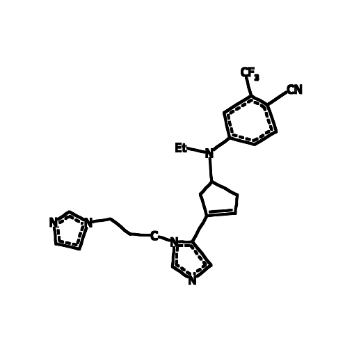 CCN(c1ccc(C#N)c(C(F)(F)F)c1)C1CC=C(c2cncn2CCCn2ccnc2)C1